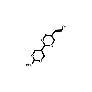 CC/C=C/C1COC(C2COC(CCCC)OC2)OC1